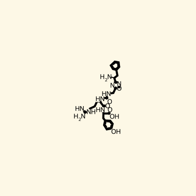 N=C(N)NCCC[C@H](NC(=O)NCc1nc([C@@H](N)Cc2ccccc2)no1)C(=O)NC(Cc1ccc(O)cc1)C(=O)O